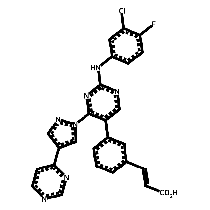 O=C(O)C=Cc1cccc(-c2cnc(Nc3ccc(F)c(Cl)c3)nc2-n2cc(-c3ccncn3)cn2)c1